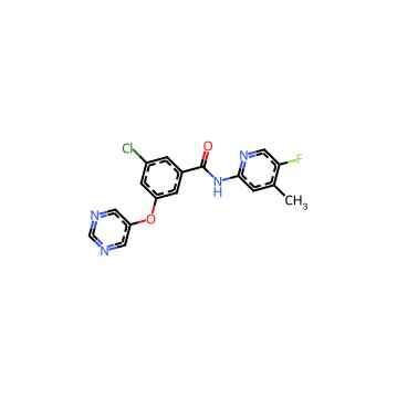 Cc1cc(NC(=O)c2cc(Cl)cc(Oc3cncnc3)c2)ncc1F